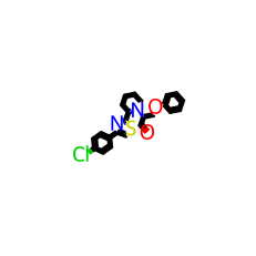 O=CC(COc1ccccc1)N1CCCCC1c1nc(-c2ccc(Cl)cc2)cs1